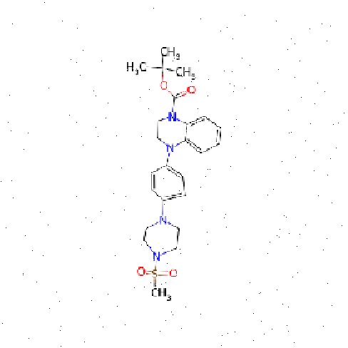 CC(C)(C)OC(=O)N1CCN(c2ccc(N3CCN(S(C)(=O)=O)CC3)cc2)c2ccccc21